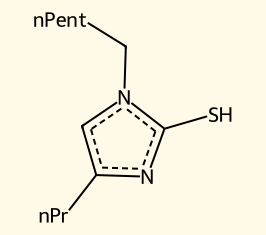 CCCCCCn1cc(CCC)nc1S